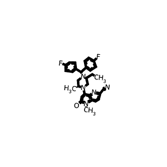 CCC1CN(c2cc(=O)n(C)c3ccc(C#N)nc23)[C@@H](C)CN1C(c1ccc(F)cc1)c1ccc(F)cc1